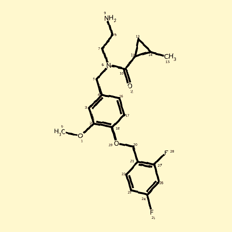 COc1cc(CN(CCN)C(=O)C2CC2C)ccc1OCc1ccc(F)cc1F